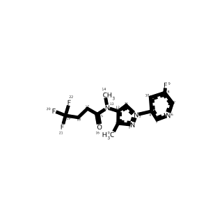 Cc1nn(-c2cncc(F)c2)cc1N(C)C(=O)CCC(F)(F)F